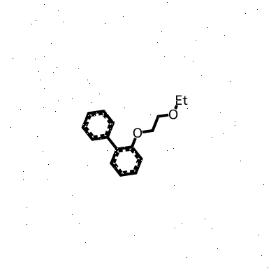 CCOCCOc1ccccc1-c1ccccc1